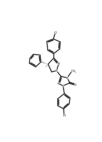 CCc1ccc(-n2nc(N3C[C@H](c4ccccc4)C(c4ccc(Cl)cc4)=N3)n(C)c2=O)cc1